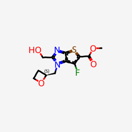 COC(=O)c1sc2nc(CO)n(C[C@@H]3CCO3)c2c1F